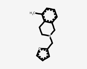 Cc1cccc2c1CCN(Cc1ccco1)C2